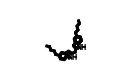 CCCCCc1ccc2[nH]c(Cc3cc4cc(CCCCC)ccc4[nH]3)cc2c1